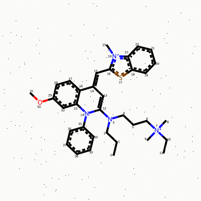 CCCN(CCC[N+](C)(C)CC)C1=CC(=Cc2sc3ccccc3[n+]2C)c2ccc(OC)cc2N1c1ccccc1